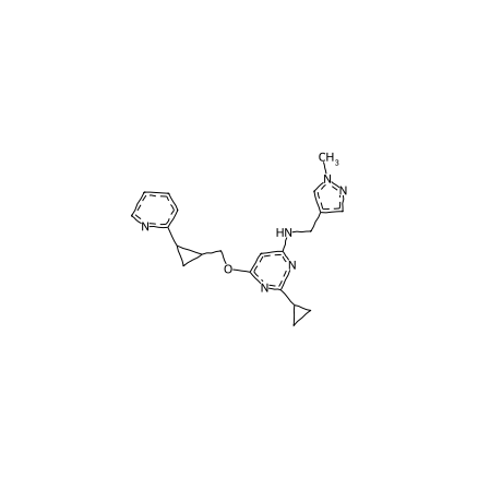 Cn1cc(CNc2cc(OCC3CC3c3ccccn3)nc(C3CC3)n2)cn1